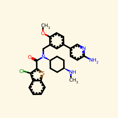 CN[C@H]1CC[C@@H](N(Cc2cc(-c3ccc(N)nc3)ccc2OC)C(=O)c2sc3ccccc3c2Cl)CC1